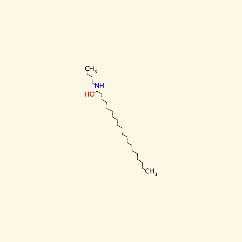 CCCCCCCCCCCCCCCCCCCC(O)NCCCC